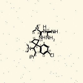 CC(C)CC(N(C)C)C1(c2ccc(Cl)cc2)CCC1.CN(C)C(=N)NC(=N)N